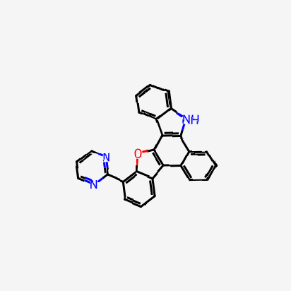 c1cnc(-c2cccc3c2oc2c3c3ccccc3c3[nH]c4ccccc4c32)nc1